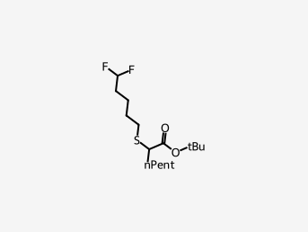 CCCCCC(SCCCCC(F)F)C(=O)OC(C)(C)C